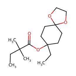 CCC1(OC(=O)C(C)(C)CC)CCC2(CC1)OCCO2